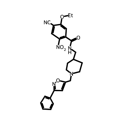 CCOc1cc(C(=O)NCC2CCN(Cc3cc(-c4ccccc4)no3)CC2)c([N+](=O)[O-])cc1C#N